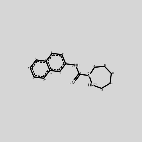 O=C(Nc1ccc2ccccc2c1)N1CCCCCN1